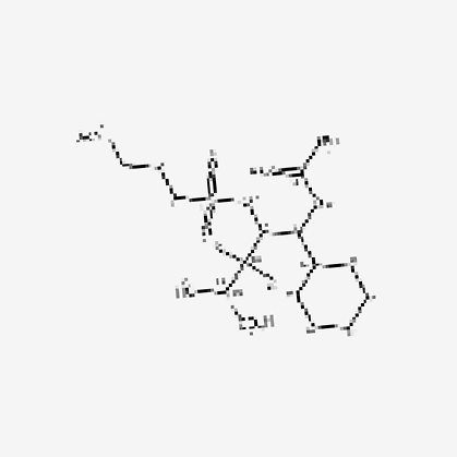 CC(=O)NCCCS(=O)(=O)OC(C(OC(=O)C(C)(C)C)C1CCCCC1)C(C)(C)[C@@H](O)C(=O)O